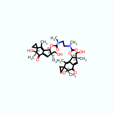 CC1=C2C(=C[C@@](C)(CO)[C@@H]2OC(=O)N(C)CCN(C)C(=O)O[C@@H]2C3=C(C)C4(CC4)[C@@](C)(O)C(=O)C3=C[C@@]2(C)CO)C(=O)[C@](C)(O)C12CC2